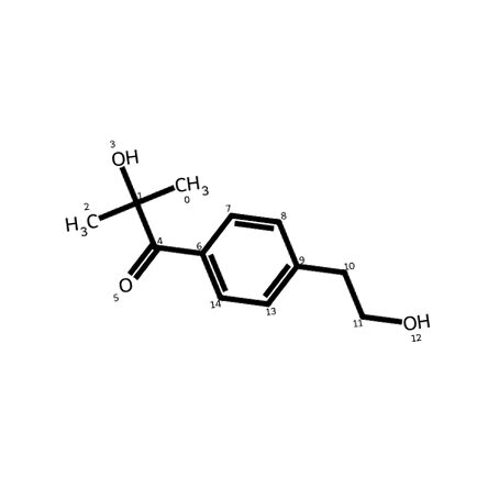 CC(C)(O)C(=O)c1ccc(CCO)cc1